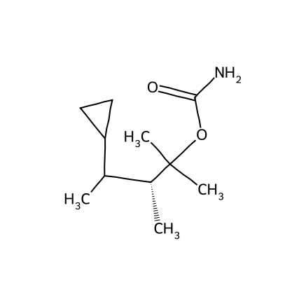 CC(C1CC1)[C@@H](C)C(C)(C)OC(N)=O